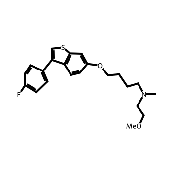 COCCN(C)CCCCOc1ccc2c(-c3ccc(F)cc3)csc2c1